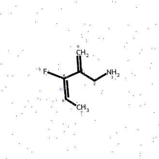 C=C(CN)/C(F)=C\C